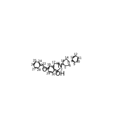 OC1CN([C@H]2CC[C@@H](c3ccccc3)CC2)CCc2cc(OCc3ccccc3)ccc21